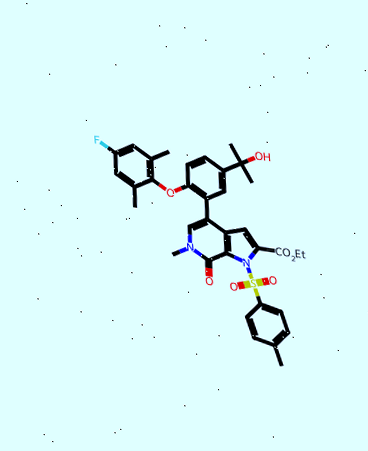 CCOC(=O)c1cc2c(-c3cc(C(C)(C)O)ccc3Oc3c(C)cc(F)cc3C)cn(C)c(=O)c2n1S(=O)(=O)c1ccc(C)cc1